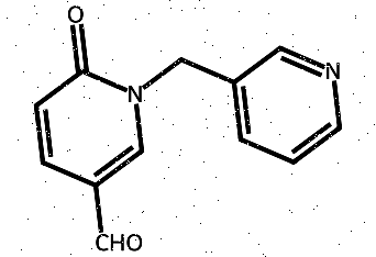 O=Cc1ccc(=O)n(Cc2cccnc2)c1